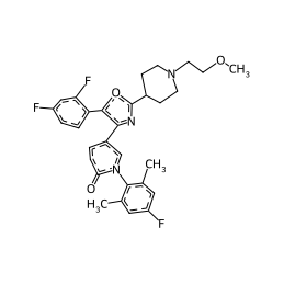 COCCN1CCC(c2nc(-c3ccc(=O)n(-c4c(C)cc(F)cc4C)c3)c(-c3ccc(F)cc3F)o2)CC1